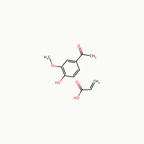 C=CC(=O)O.COc1cc(C(C)=O)ccc1O